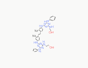 OCCNc1nc(Nc2ccccc2)nc(Nc2ccc(C=Cc3ccc(Nc4nc(NCCO)nc(Nc5ccccc5)n4)c[c]3[Na])[c]([Na])c2)n1